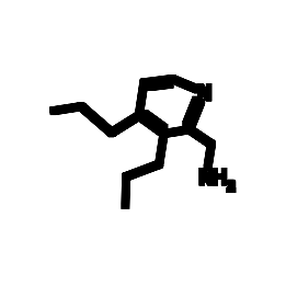 CCCc1ccnc(CN)c1CCC